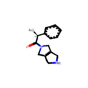 CC(=O)O[C@H](C(=O)N1CC2=C(CNC2)C1)c1ccccc1